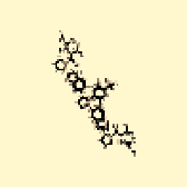 COC(=O)N[C@H](C(=O)N1CCC[C@H]1c1nc2cc([C@H]3CC[C@H](c4ccc5[nH]c([C@@H]6CCCN6C(=O)[C@@H](NC(=O)OC)C(C)C)nc5c4)N3c3cc(F)c(C(F)(F)F)cc3F)ccc2[nH]1)C(C)C